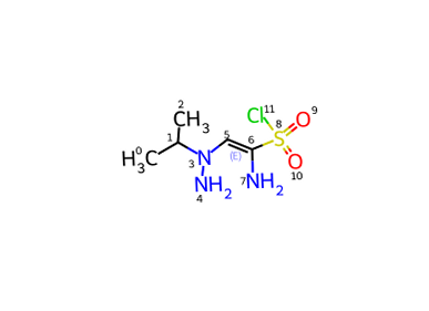 CC(C)N(N)/C=C(\N)S(=O)(=O)Cl